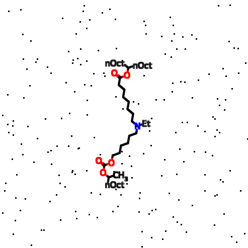 CCCCCCCCC(C)OC(=O)OCCCCCCN(CC)CCCCCCCC(=O)OC(CCCCCCCC)CCCCCCCC